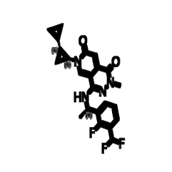 C[C@@H](Nc1nn(C)c(=O)c2cc(=O)n([C@H]3C[C@@H]3C3CC3)cc12)c1cccc(C(F)F)c1F